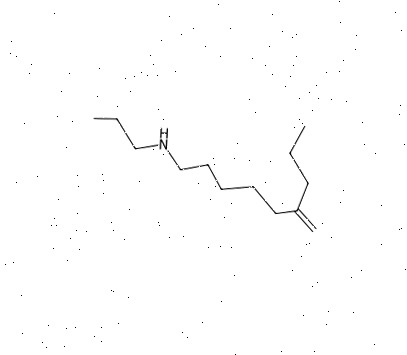 C=C(CCC)CCCCCNCCC